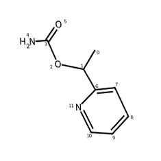 CC(OC(N)=O)c1ccccn1